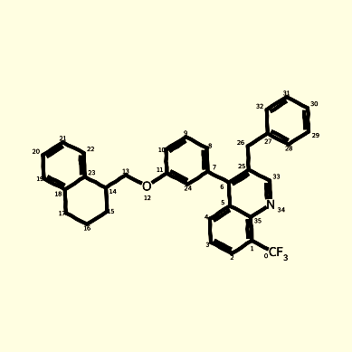 FC(F)(F)c1cccc2c(-c3cccc(OCC4CCCc5ccccc54)c3)c(Cc3ccccc3)cnc12